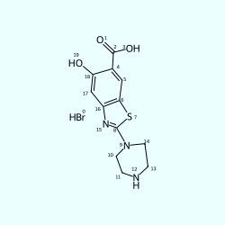 Br.O=C(O)c1cc2sc(N3CCNCC3)nc2cc1O